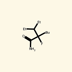 CCC(C)C(F)(C(N)=O)C(CC)CC